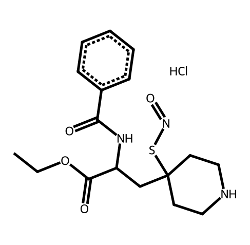 CCOC(=O)C(CC1(SN=O)CCNCC1)NC(=O)c1ccccc1.Cl